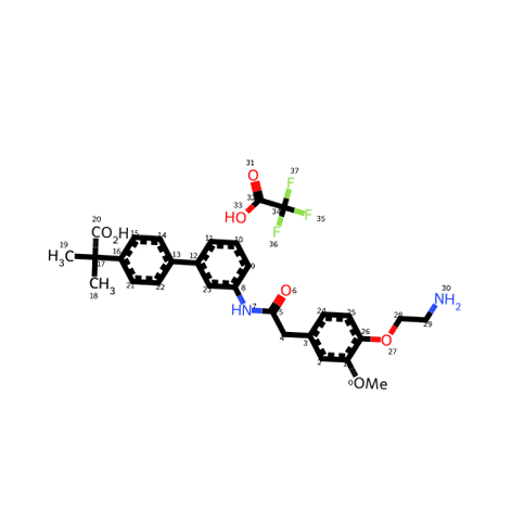 COc1cc(CC(=O)Nc2cccc(-c3ccc(C(C)(C)C(=O)O)cc3)c2)ccc1OCCN.O=C(O)C(F)(F)F